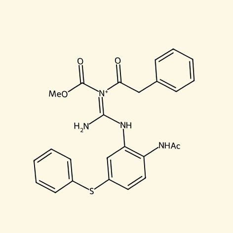 COC(=O)[N+](C(=O)Cc1ccccc1)=C(N)Nc1cc(Sc2ccccc2)ccc1NC(C)=O